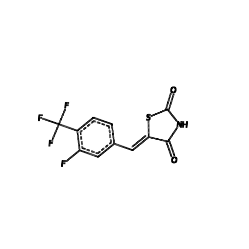 O=C1NC(=O)/C(=C/c2ccc(C(F)(F)F)c(F)c2)S1